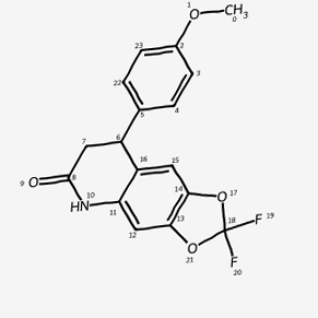 COc1ccc(C2CC(=O)Nc3cc4c(cc32)OC(F)(F)O4)cc1